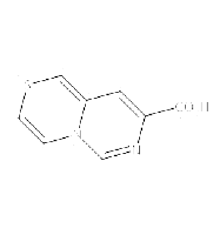 O=C(O)C1=CC2=CSC=CN2C=N1